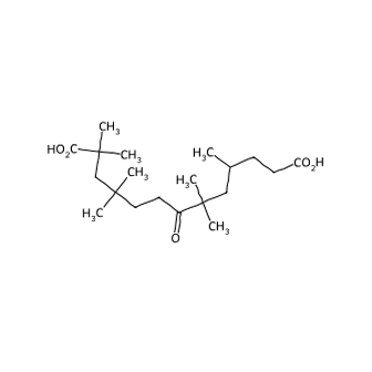 CC(CCC(=O)O)CC(C)(C)C(=O)CCC(C)(C)CC(C)(C)C(=O)O